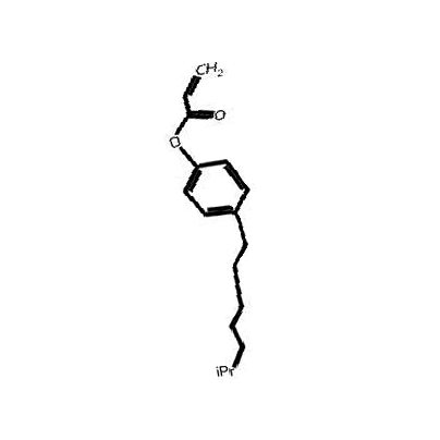 C=CC(=O)Oc1ccc(CCCCCC(C)C)cc1